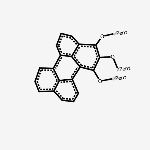 CCCCCOc1c(OCCCCC)c2cccc3c4cccc5cccc(c(c1OCCCCC)c23)c54